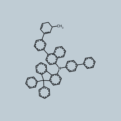 CC1C=C(c2cccc(-c3ccc(N(c4ccc(-c5ccccc5)cc4)c4cccc5c4-c4ccccc4C5(c4ccccc4)c4ccccc4)c4ccccc34)c2)C=CC1